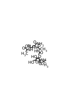 CCC(NC(=O)CCC(NC(=O)C(C)NC(=O)CO[C@@H]([C@H](O)[C@H](O)CO)[C@H](C=O)NC(C)=O)C(N)=O)C(=O)O